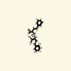 CC(C)=C(CCc1ccccc1)COCC(CCc1ccccc1)=C(C)C